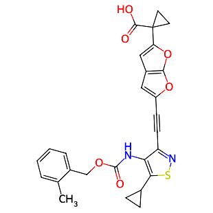 Cc1ccccc1COC(=O)Nc1c(C#Cc2cc3cc(C4(C(=O)O)CC4)oc3o2)nsc1C1CC1